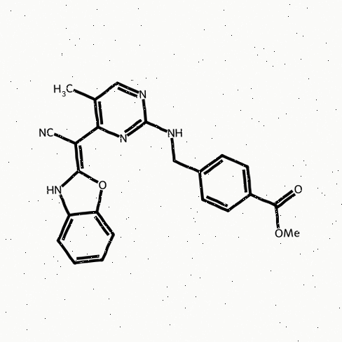 COC(=O)c1ccc(CNc2ncc(C)c(/C(C#N)=C3/Nc4ccccc4O3)n2)cc1